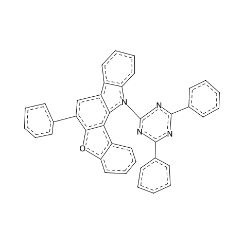 c1ccc(-c2nc(-c3ccccc3)nc(-n3c4ccccc4c4cc(-c5ccccc5)c5oc6ccccc6c5c43)n2)cc1